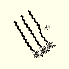 CCCCCCCCC=CCCCCCCCCOP(=O)([O-])OCC.CCCCCCCCC=CCCCCCCCCOP(=O)([O-])OCC.CCCCCCCCC=CCCCCCCCCOP(=O)([O-])OCC.[Al+3]